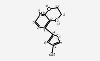 Brc1csc(-c2ccnc3c2OCCO3)c1